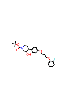 CC(C)(C)OC(=O)N1CCC(c2ccc(OCCCOc3ccccc3F)cc2)C(O)C1